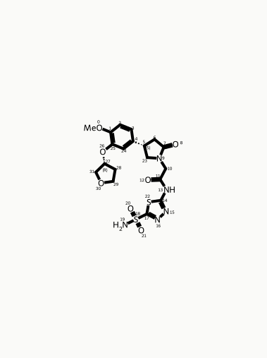 COc1ccc([C@@H]2CC(=O)N(CC(=O)Nc3nnc(S(N)(=O)=O)s3)C2)cc1O[C@@H]1CCOC1